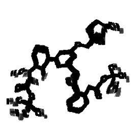 C[C@@H](NC(=O)OC(C)(C)C)c1cccc(-c2cc(COc3ccccc3CC(=O)OC(C)(C)C)cc(OCc3ccn(C)n3)c2)c1F